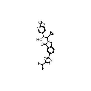 O=C1c2cc(-c3nnc(C(F)F)o3)ccc2CN1[C@H](C1CC1)[C@@H](O)c1ccc(C(F)(F)F)nc1